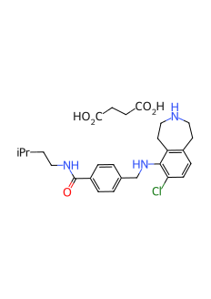 CC(C)CCNC(=O)c1ccc(CNc2c(Cl)ccc3c2CCNCC3)cc1.O=C(O)CCC(=O)O